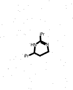 CC(C)C1=NCCC(C(C)C)N1